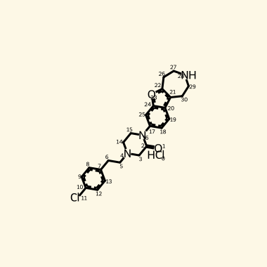 Cl.O=C1CN(CCc2ccc(Cl)cc2)CCN1c1ccc2c3c(oc2c1)CCNCC3